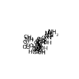 CCNC(=O)Cc1cc(=O)oc2cc(COP(=O)(O)OP(=O)(O)OP(=O)(O)OP(=O)(O)OP(=O)(O)OP(=O)(O)OC[C@H]3O[C@@H](n4cnc5c(N)ncnc54)C[C@H]3O)ccc12